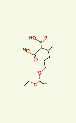 CCOC(C)OCCCC(C)C(C(=O)O)C(=O)O